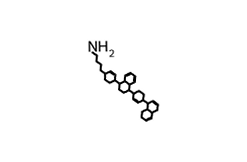 NCCCCCC1C=CC(C2CCC(C3C=CC(C4C=CCC5C=CCCC54)CC3)C3C=CC=CC32)CC1